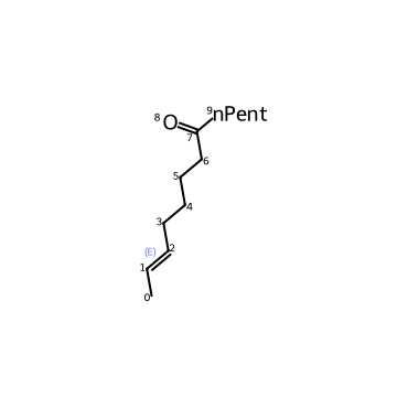 C/C=C/CCCCC(=O)CCCCC